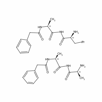 CC(C)C[C@H](N)C(=O)NC(=O)[C@H](C)NC(=O)Cc1ccccc1.C[C@H](N)C(=O)NC(=O)[C@H](C)NC(=O)Cc1ccccc1